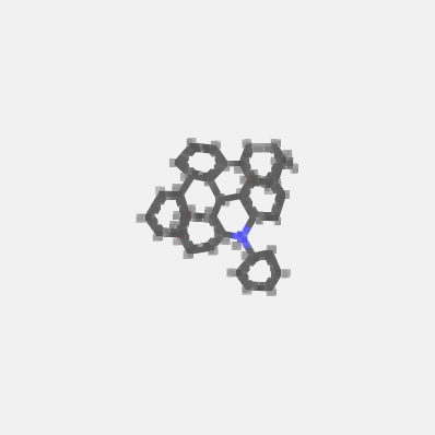 Cc1ccc2c(c1)B(c1c(-c3ccccc3)cccc1-c1ccccc1)c1ccccc1N2c1ccccc1